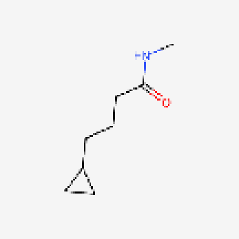 CNC(=O)CCCC1CC1